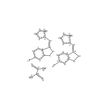 Fc1ccc2c(c1)CC/C2=C/c1cnc[nH]1.Fc1ccc2c(c1)CC/C2=C/c1cnc[nH]1.O=C(O)C(=O)O